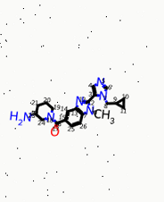 Cn1c(-c2cncn2CC2CC2)nc2cc(C(=O)N3CCC[C@@H](N)C3)ccc21